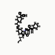 CCCCN1C(=O)/C(=N\NC(=O)Nc2ccccc2)c2cc(SCCc3ccc(C(=O)O)cc3)ccc21